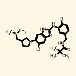 CN(C)CC1CCN(c2cc3[nH]c(Nc4cc(CNC(=O)C(C)(C)C)ccc4Cl)nc3cc2Cl)C1